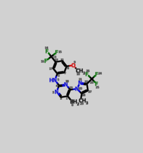 Bc1cnc(Nc2cc(OC)cc(C(F)(F)F)c2)nc1-n1nc(C(F)(F)F)cc1C